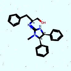 CN1/C(=N/[C@H](CO)Cc2ccccc2)N[C@@H](c2ccccc2)[C@H]1c1ccccc1